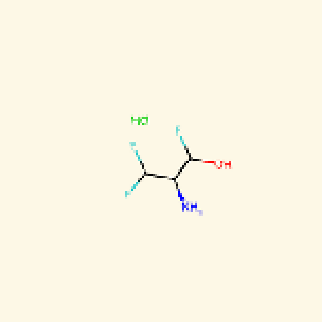 Cl.N[C@H](C(O)F)C(F)F